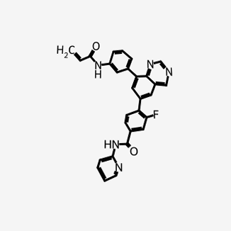 C=CC(=O)Nc1cccc(-c2cc(-c3ccc(C(=O)Nc4ccccn4)cc3F)cc3cncnc23)c1